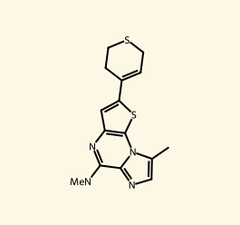 CNc1nc2cc(C3=CCSCC3)sc2n2c(C)cnc12